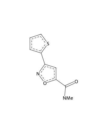 CNC(=O)c1cc(-c2cccs2)no1